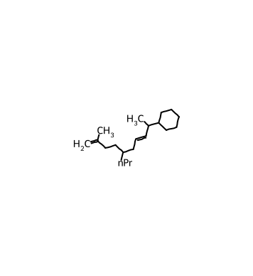 C=C(C)CCC(CC=CC(C)C1CCCCC1)CCC